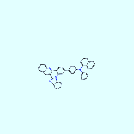 c1ccc(N(c2ccc(-c3ccc4c5nc6ccccc6cc5c5nc6ccccc6n5c4c3)cc2)c2cccc3ccccc23)cc1